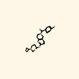 O=C(c1ccc(F)cc1)N1CCc2nc(OC3CCN(C4CCC4)CC3)ccc2C1